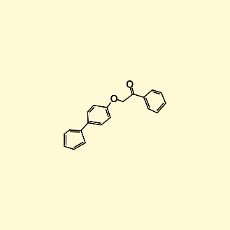 O=C(COc1ccc(-c2ccccc2)cc1)c1ccccc1